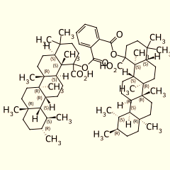 C[C@@H]1[C@H]2[C@H]3CC[C@@H]4[C@]5(C)[C@@H](CC[C@@]4(C)[C@]3(C)CC[C@@]2(C)CC[C@H]1C)C(C)(C)CCC5(OC(=O)c1ccccc1C(=O)OC1(C(=O)O)CCC(C)(C)[C@@H]2CC[C@]3(C)[C@H](CC[C@@H]4[C@@H]5[C@@H](C)[C@H](C)CC[C@]5(C)CC[C@]43C)[C@]21C)C(=O)O